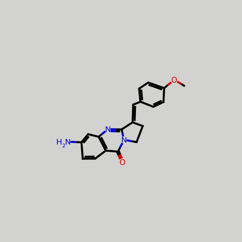 COc1ccc(C=C2CCn3c2nc2cc(N)ccc2c3=O)cc1